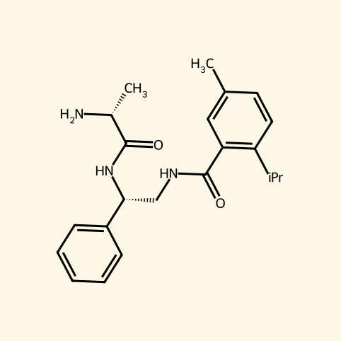 Cc1ccc(C(C)C)c(C(=O)NC[C@@H](NC(=O)[C@@H](C)N)c2ccccc2)c1